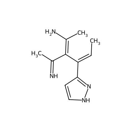 C/C=C(\C(C(C)=N)=C(/C)N)c1cc[nH]n1